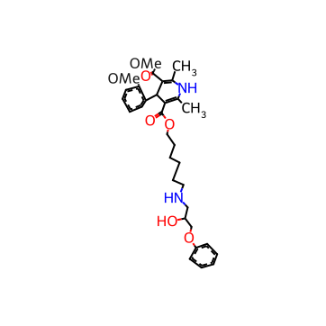 COC(=O)C1=C(C)NC(C)=C(C(=O)OCCCCCCNCC(O)COc2ccccc2)C1c1ccccc1OC